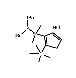 CC(C)(C)P(C(C)(C)C)[Si](C)(C)C1=[C]([Cr]([CH3])([CH3])([CH3])[CH3])CC=C1.Cl